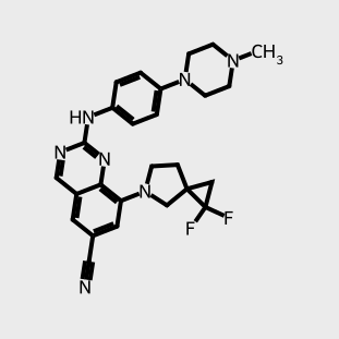 CN1CCN(c2ccc(Nc3ncc4cc(C#N)cc(N5CCC6(C5)CC6(F)F)c4n3)cc2)CC1